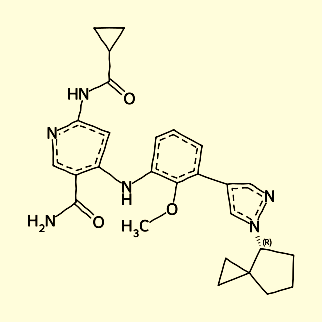 COc1c(Nc2cc(NC(=O)C3CC3)ncc2C(N)=O)cccc1-c1cnn([C@@H]2CCCC23CC3)c1